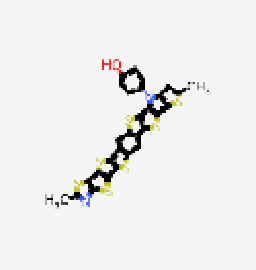 Cc1cc2c(s1)c1sc3c4cc5sc6c(sc7c8sc(C)nc8sc76)c5cc4sc3c1n2-c1ccc(O)cc1